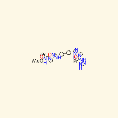 COC(=O)N[C@H](C(=O)N1CCC[C@H]1c1ncc(-c2ccc(-c3ccc(-c4cnc([C@@H]5CCCN5C(=O)[C@@H](NC5=NCCN5)C(C)C)[nH]4)cc3)cc2)[nH]1)C(C)C